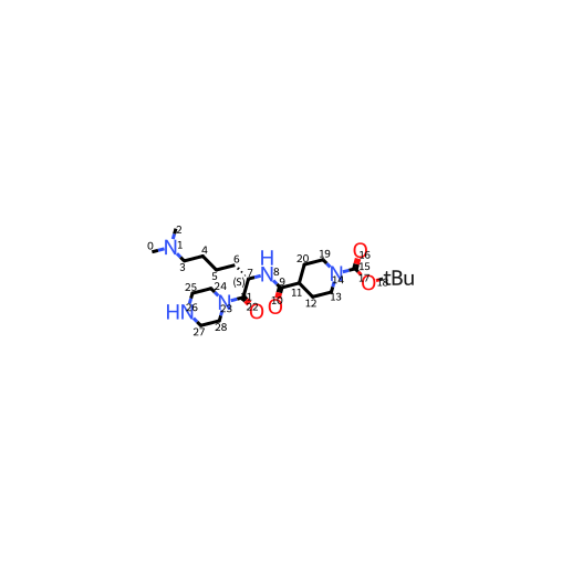 CN(C)CCCC[C@H](NC(=O)C1CCN(C(=O)OC(C)(C)C)CC1)C(=O)N1CCNCC1